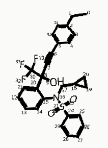 CCc1ccc(C#CC(O)(c2ccccc2N(CC2CC2)S(=O)(=O)c2ccccc2)C(F)(F)F)cc1